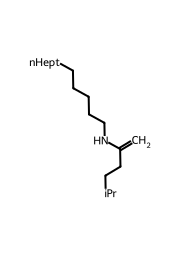 C=C(CCC(C)C)NCCCCCCCCCCCC